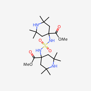 COC(=O)C1(NS(=O)(=O)NC2(C(=O)OC)CC(C)(C)NC(C)(C)C2)CC(C)(C)NC(C)(C)C1